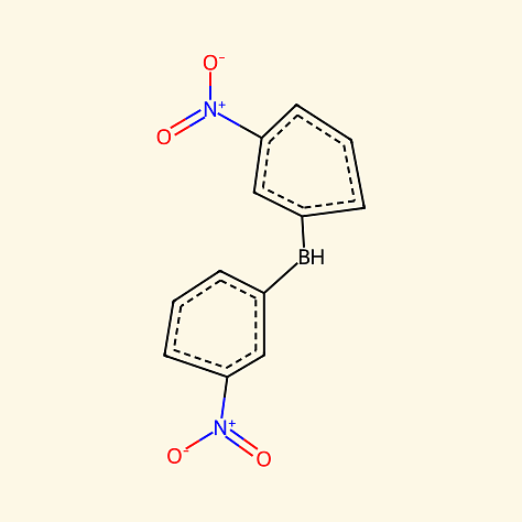 O=[N+]([O-])c1cccc(Bc2cccc([N+](=O)[O-])c2)c1